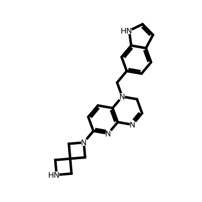 C1=Nc2nc(N3CC4(CNC4)C3)ccc2N(Cc2ccc3cc[nH]c3c2)C1